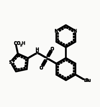 CC(C)(C)c1ccc(S(=O)(=O)Nc2ccsc2C(=O)O)c(-c2cncnc2)c1